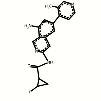 Cc1cnccc1-c1cc(N)c2cnc(NC(=O)C3CC3F)cc2c1